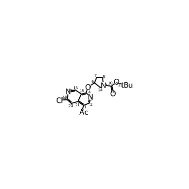 CC(=O)c1cnc(OC2CCN(C(=O)OC(C)(C)C)C2)c2cnc(Cl)cc12